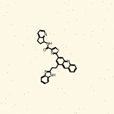 O=C(NC1CCc2cccnc21)c1csc(-c2cc(CCc3nc4ccccc4[nH]3)c3cc4ccccc4nc3c2)n1